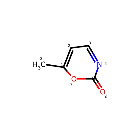 Cc1ccnc(=O)o1